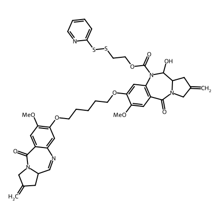 C=C1CC2C=Nc3cc(OCCCCCOc4cc5c(cc4OC)C(=O)N4CC(=C)CC4C(O)N5C(=O)OCCSSc4ccccn4)c(OC)cc3C(=O)N2C1